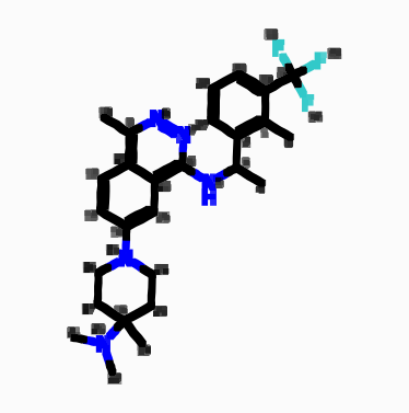 Cc1c(C(C)Nc2nnc(C)c3ccc(N4CCC(C)(N(C)C)CC4)cc23)cccc1C(F)(F)F